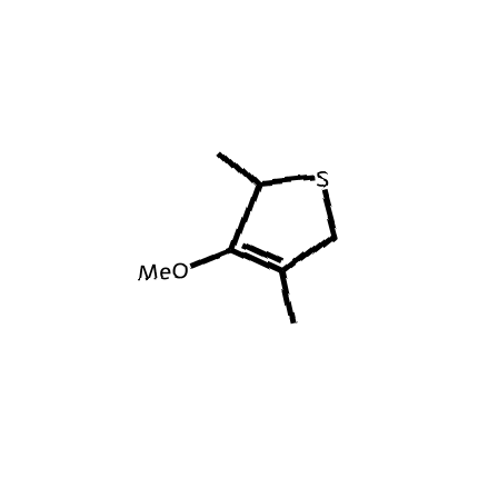 COC1=C(C)CSC1C